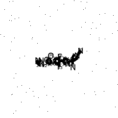 N#CN1CC2C(C1)C2(C#N)c1ccc(-c2c(F)cc(N3C[C@H](Cn4ccnn4)OC3=O)cc2F)cn1